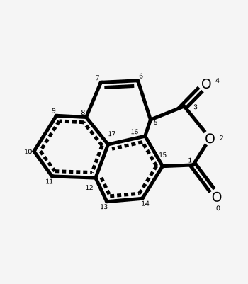 O=C1OC(=O)C2C=Cc3cccc4ccc1c2c34